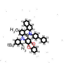 Cc1cc2c3c(c1)N(c1ccc(C(C)(C)C)cc1C)c1cc4c(cc1B3N(c1ccc(-c3ccccc3)cc1)c1ccc3ccccc3c1-2)Oc1ccccc1O4